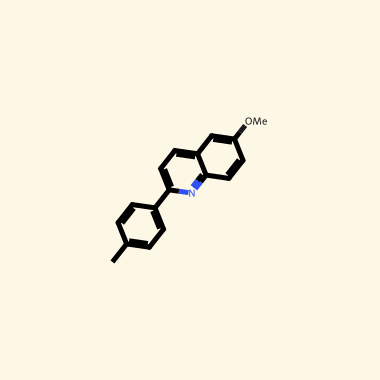 COc1ccc2nc(-c3ccc(C)cc3)ccc2c1